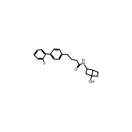 O=C(CCCc1ccc(-c2ccccc2F)cc1)NC1CC2(O)CCC12